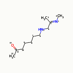 C/N=C(\C)CNCCCCCC(C)=O